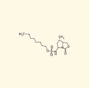 CCCCCCCCOS(=O)(=O)NC1C[C@H](C)C2COC(=O)N12